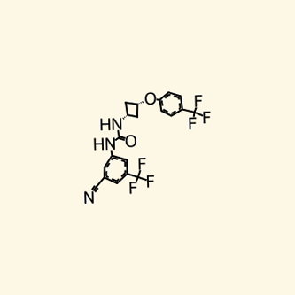 N#Cc1cc(NC(=O)N[C@H]2C[C@@H](Oc3ccc(C(F)(F)F)cc3)C2)cc(C(F)(F)F)c1